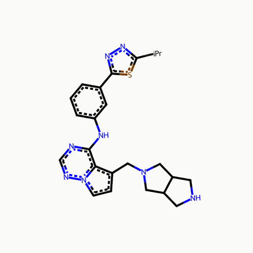 CC(C)c1nnc(-c2cccc(Nc3ncnn4ccc(CN5CC6CNCC6C5)c34)c2)s1